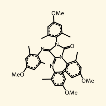 COc1cc(C)c(N=C2C(=Nc3c(C)cc(OC)cc3C)N(c3c(C)cc(OC)cc3C)C(=O)N2c2c(C)cc(OC)cc2C)c(C)c1